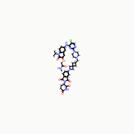 CNC(=O)COc1cc2cc(Nc3nc(N4CCN(CC5CC6(C5)CN(c5ccc7c(c5)C(=O)N(C5CCC(=O)NC5=O)C7=O)C6)CC4)ncc3Cl)ccc2n(C(C)C)c1=O